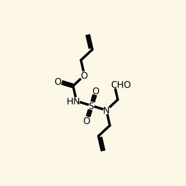 C=CCOC(=O)NS(=O)(=O)N(CC=C)CC=O